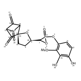 COc1c(OP2(=O)OC2[C@H]2CC[C@@]3(O2)C(=O)C2C(=O)C3[N+]2=[N-])ccc(O)c1O